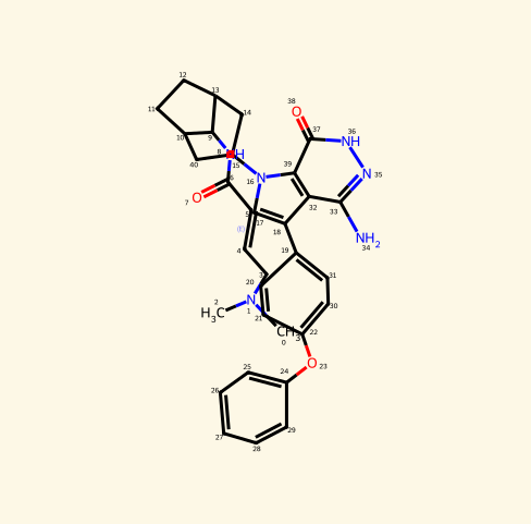 CN(C)C/C=C/C(=O)NC1C2CCC1CC(n1cc(-c3ccc(Oc4ccccc4)cc3)c3c(N)n[nH]c(=O)c31)C2